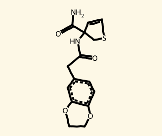 NC(=O)C1(NC(=O)Cc2ccc3c(c2)OCCO3)C=CSC1